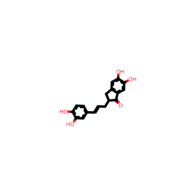 O=C1c2cc(O)c(O)cc2CC1C/C=C/c1ccc(O)c(O)c1